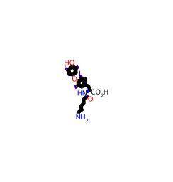 NCCCCCC(=O)NC(Cc1cc(I)c(Oc2cc(I)c(O)c(I)c2)c(I)c1)C(=O)O